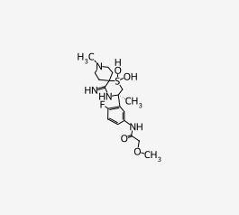 COCC(=O)Nc1ccc(F)c([C@]2(C)CS(O)(O)C3(CCN(C)CC3)C(=N)N2)c1